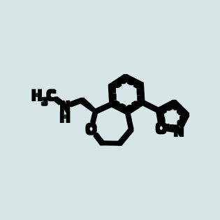 CNC[C@@H]1OCCCc2c(-c3ccno3)cccc21